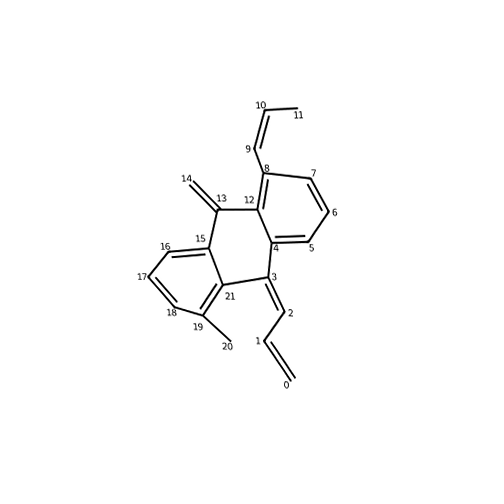 C=C/C=c1/c2cccc(/C=C\C)c2c(=C)c2cccc(C)c12